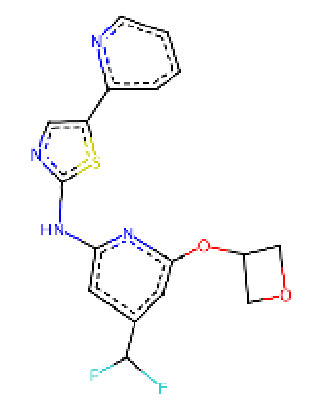 FC(F)c1cc(Nc2ncc(-c3ccccn3)s2)nc(OC2COC2)c1